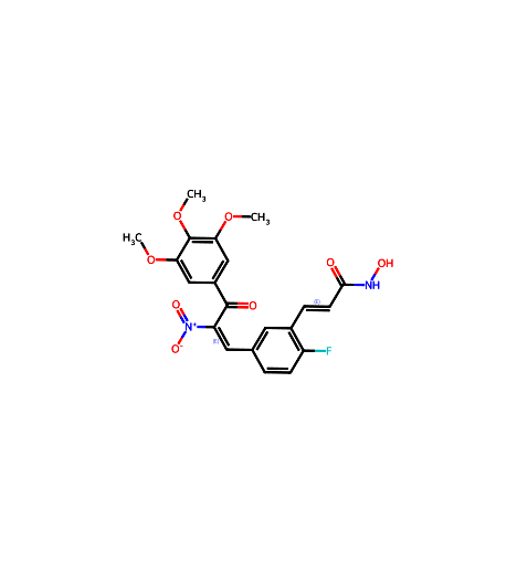 COc1cc(C(=O)/C(=C\c2ccc(F)c(/C=C/C(=O)NO)c2)[N+](=O)[O-])cc(OC)c1OC